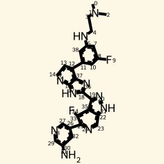 CN(C)CCNc1cc(F)cc(-c2ccnc3[nH]c(-c4n[nH]c5cnc(-c6cncc(N)c6)c(F)c45)nc23)c1